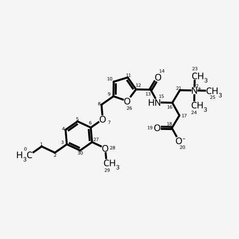 CCCc1ccc(OCc2ccc(C(=O)NC(CC(=O)[O-])C[N+](C)(C)C)o2)c(OC)c1